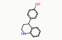 Oc1ccc(C2CCNc3ccccc32)cc1